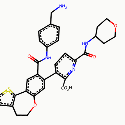 NCc1ccc(NC(=O)c2cc3c(cc2-c2ccc(C(=O)NC4CCOCC4)nc2C(=O)O)OCCc2ccsc2-3)cc1